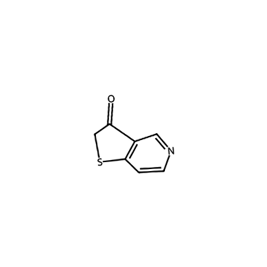 O=C1CSc2ccncc21